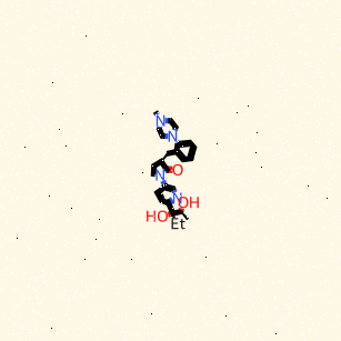 CC[C@@](O)(c1ccc(N2CC[C@@H](Cc3ccccc3N3CCN(C)CC3)C2=O)cn1)[C@H](C)O